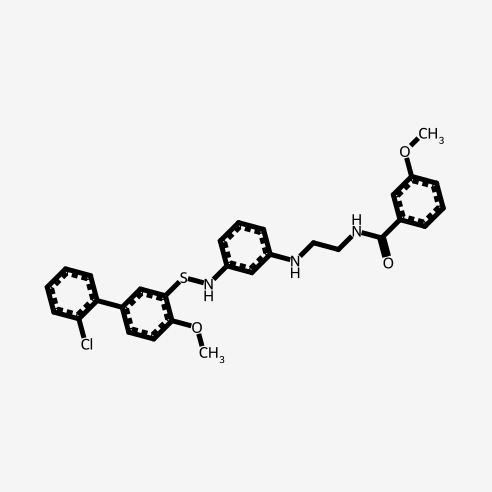 COc1cccc(C(=O)NCCNc2cccc(NSc3cc(-c4ccccc4Cl)ccc3OC)c2)c1